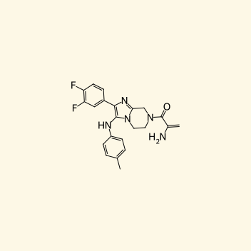 C=C(N)C(=O)N1CCn2c(nc(-c3ccc(F)c(F)c3)c2Nc2ccc(C)cc2)C1